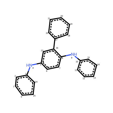 c1ccc(Nc2ccc(Nc3ccccc3)c(-c3ccccc3)c2)cc1